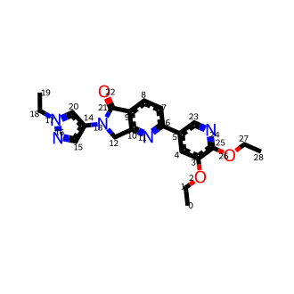 CCOc1cc(-c2ccc3c(n2)CN(c2cnn(CC)c2)C3=O)cnc1OCC